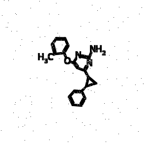 Cc1ccccc1Oc1cc(C2C[C@H]2c2ccccc2)nc(N)n1